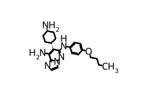 CCCCOc1ccc(Nc2nn3ccnc3c(N)c2[C@H]2CC[C@H](N)CC2)cc1